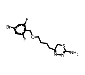 NC1=NN=C(CCCCOCc2c(F)cc(Br)cc2F)CS1